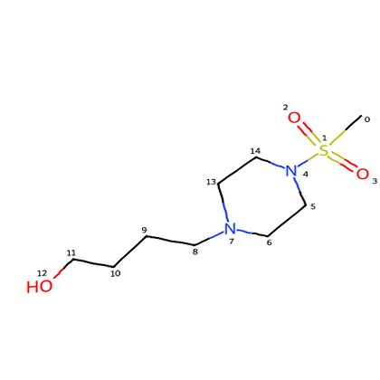 CS(=O)(=O)N1CCN(CCCCO)CC1